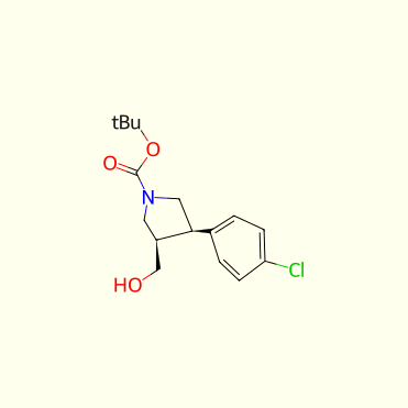 CC(C)(C)OC(=O)N1C[C@H](CO)[C@H](c2ccc(Cl)cc2)C1